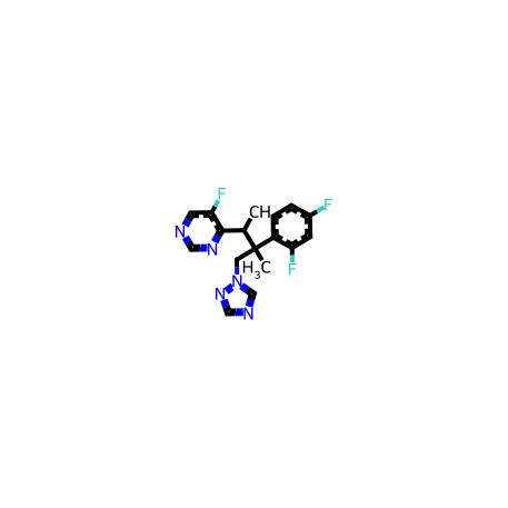 CC(c1ncncc1F)C(C)(Cn1cncn1)c1ccc(F)cc1F